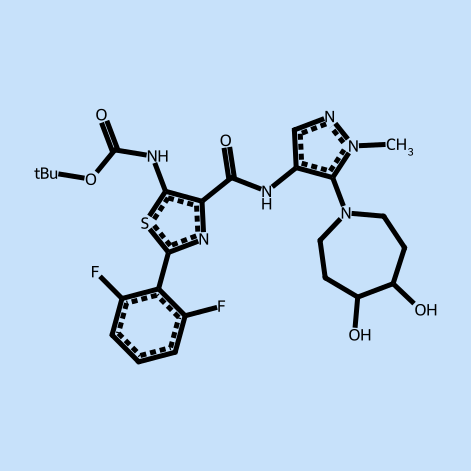 Cn1ncc(NC(=O)c2nc(-c3c(F)cccc3F)sc2NC(=O)OC(C)(C)C)c1N1CCC(O)C(O)CC1